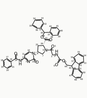 O=C(NCC(=O)N1C[C@H](n2ccc(NC(=O)c3ccccc3)nc2=O)C[C@@H]1C(=O)OC(c1ccccc1)c1ccccc1)OCC1c2ccccc2-c2ccccc21